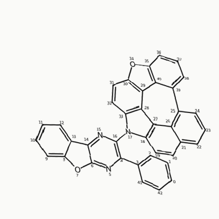 c1ccc(-c2nc3oc4ccccc4c3nc2-n2c3ccc4cccc5c4c3c3c4c(ccc32)oc2cccc-5c24)cc1